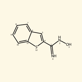 N=C(NO)c1cc2ccccc2s1